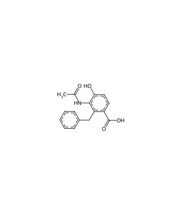 CC(=O)Nc1c(O)ccc(C(=O)O)c1Cc1ccccc1